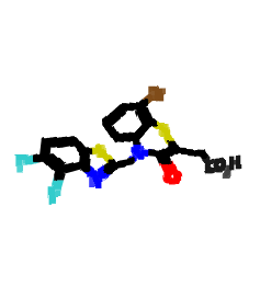 O=C(O)CC1Sc2c(Br)cccc2N(Cc2nc3c(F)c(F)ccc3s2)C1=O